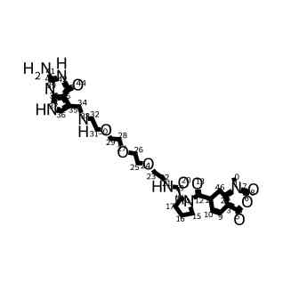 Cn1c2c(c(=O)oc1=O)C=CC(C(=O)N1CCC[C@H]1C(=O)NCCOCCOCCOCCNCc1c[nH]c3nc(N)[nH]c(=O)c13)C2